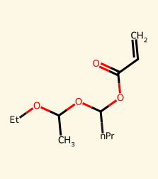 C=CC(=O)OC(CCC)OC(C)OCC